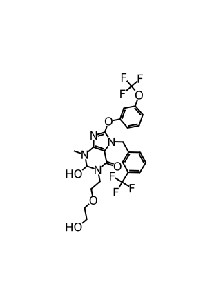 CN1c2nc(Oc3cccc(OC(F)(F)F)c3)n(Cc3cccc(C(F)(F)F)c3)c2C(=O)N(CCOCCO)C1O